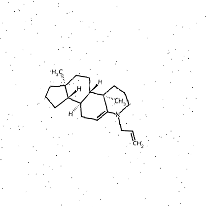 C=CCN1CCC[C@@]2(C)C1=CC[C@H]1[C@@H]3CCC[C@@]3(C)CC[C@@H]12